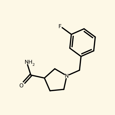 NC(=O)C1CCN(Cc2cccc(F)c2)C1